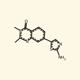 Cc1nc2cc(-c3cnc(N)s3)ccc2c(=O)n1C